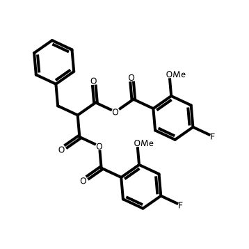 COc1cc(F)ccc1C(=O)OC(=O)C(Cc1ccccc1)C(=O)OC(=O)c1ccc(F)cc1OC